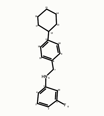 Fc1cccc(NCc2ccc(C3CCCCC3)cc2)c1